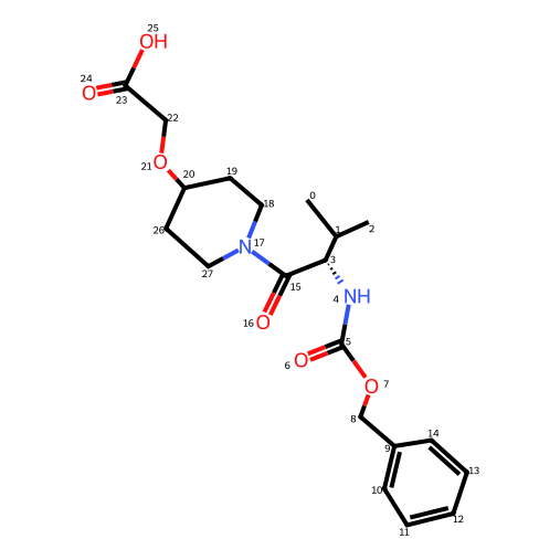 CC(C)[C@H](NC(=O)OCc1ccccc1)C(=O)N1CCC(OCC(=O)O)CC1